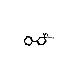 FC(F)(F)C1(C(Cl)(Cl)Cl)C=CC=C(c2ccccc2)C1